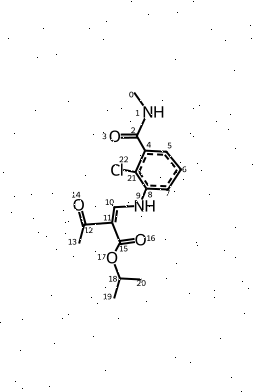 CNC(=O)c1cccc(NC=C(C(C)=O)C(=O)OC(C)C)c1Cl